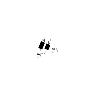 C#N.N.[Ag+].[C-]#N